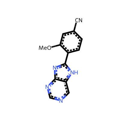 COc1cc(C#N)ccc1-c1nc2ncncc2[nH]1